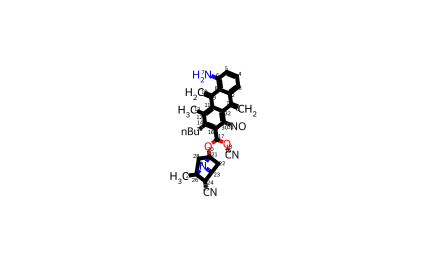 C=c1c2cccc(N)c2c(=C)c2c(C)c(CCCC)c(C(OC#N)OC34CC5C(C#N)C(C)(C3)N54)c(N=O)c12